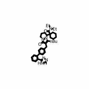 CCCCc1c(Cc2ccc(-c3ccccc3-c3nnn[nH]3)cc2)c(=O)n2n1C(C1(C(=O)N(CC)CC)CCCCC1)CCC2